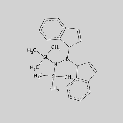 C[Si](C)(C)N(B(C1C=Cc2ccccc21)C1C=Cc2ccccc21)[Si](C)(C)C